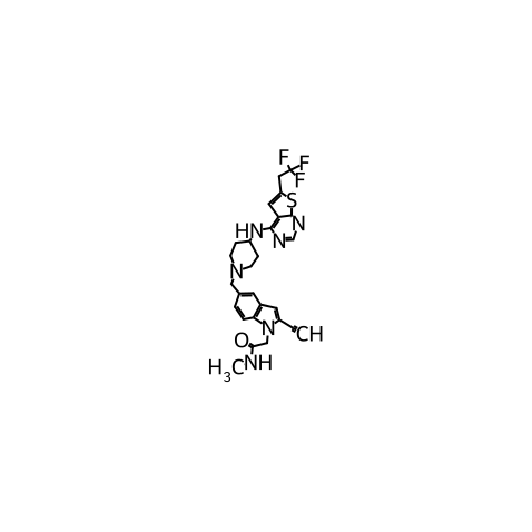 C#Cc1cc2cc(CN3CCC(Nc4ncnc5sc(CC(F)(F)F)cc45)CC3)ccc2n1CC(=O)NC